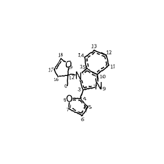 CC1(n2c(-c3ccco3)nc3ccccc32)CC=CO1